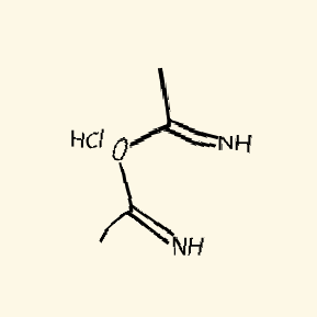 CC(=N)OC(C)=N.Cl